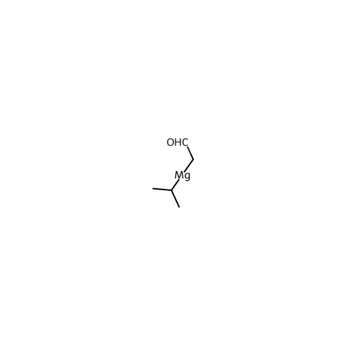 C[CH](C)[Mg][CH2]C=O